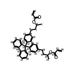 C=CC(=O)OC(C)CCc1ccc(C2(c3ccc(CCC(C)OC(=O)C=C)cc3)c3ccccc3-c3ccccc32)cc1